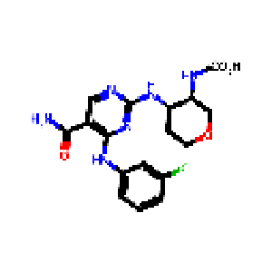 NC(=O)c1cnc(N[C@@H]2CCOC[C@@H]2NC(=O)O)nc1Nc1cccc(Cl)c1